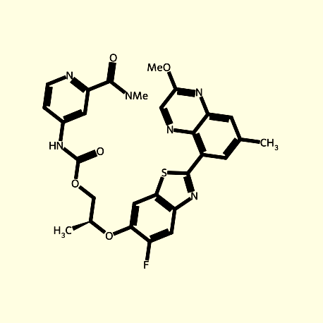 CNC(=O)c1cc(NC(=O)OC[C@H](C)Oc2cc3sc(-c4cc(C)cc5nc(OC)cnc45)nc3cc2F)ccn1